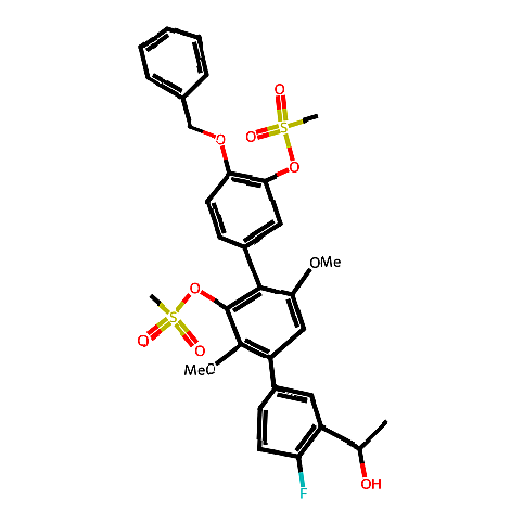 COc1cc(-c2ccc(F)c(C(C)O)c2)c(OC)c(OS(C)(=O)=O)c1-c1ccc(OCc2ccccc2)c(OS(C)(=O)=O)c1